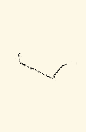 O=[C]CC[C@H](NC(=O)CC[C@H](NC(=O)COCCOCCNC(=O)COCCOCCNC(=O)CC[C@H](NC(=O)CCCCCCCCCCCCC(=O)O)C(=O)O)C(=O)O)C(=O)O